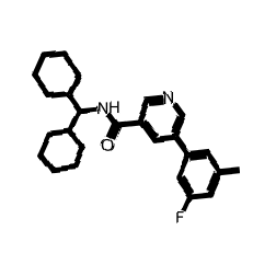 Cc1cc(F)cc(-c2cncc(C(=O)NC(C3CCCCC3)C3CCCCC3)c2)c1